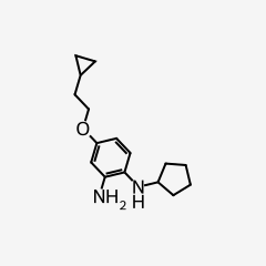 Nc1cc(OCCC2CC2)ccc1NC1CCCC1